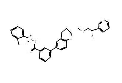 Cc1ccccc1S(=O)(=O)NC(=O)c1cccc(-c2ccc3c(c2)CC[C@H](CNC[C@H](O)c2cccnc2)O3)c1